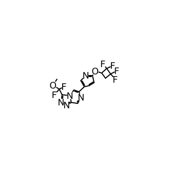 COC(F)(F)c1nnc2cnc(-c3ccc(OC4CC(F)(F)C4(F)F)nc3)cn12